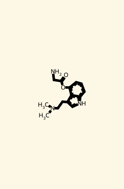 CN(C)CCc1c[nH]c2cccc(OC(=O)CN)c12